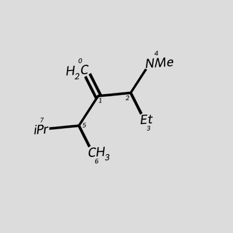 C=C(C(CC)NC)C(C)C(C)C